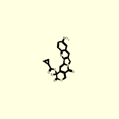 CCC1(OC(=O)C2CC2)C(=O)OCc2c1cc1n(c2=O)Cc2cc3cc([N+](=O)[O-])ccc3nc2-1